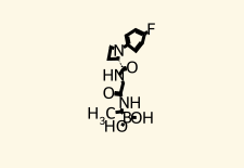 CC(NC(=O)CNC(=O)[C@@H]1CCN1c1ccc(F)cc1)B(O)O